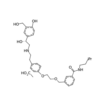 CC(=O)O.CC(C)CCNC(=O)c1cccc(COCCOc2ccc(CCNC[C@H](O)c3ccc(O)c(CO)c3)cc2)c1